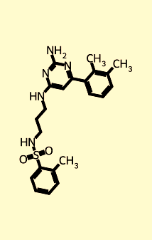 Cc1ccccc1S(=O)(=O)NCCCNc1cc(-c2cccc(C)c2C)nc(N)n1